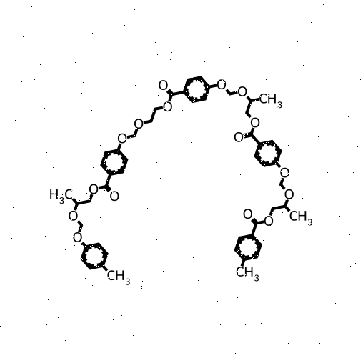 Cc1ccc(OCOC(C)COC(=O)c2ccc(OCOCCOC(=O)c3ccc(OCOC(C)COC(=O)c4ccc(OCOC(C)COC(=O)c5ccc(C)cc5)cc4)cc3)cc2)cc1